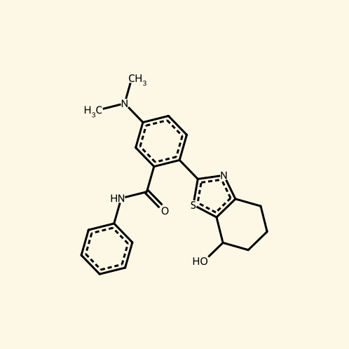 CN(C)c1ccc(-c2nc3c(s2)C(O)CCC3)c(C(=O)Nc2ccccc2)c1